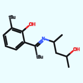 CC(O)CC(C)N=C(c1cccc(C(C)(C)C)c1O)C(C)(C)C